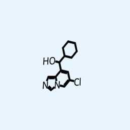 OC(c1cc(Cl)cn2cncc12)C1CCCCC1